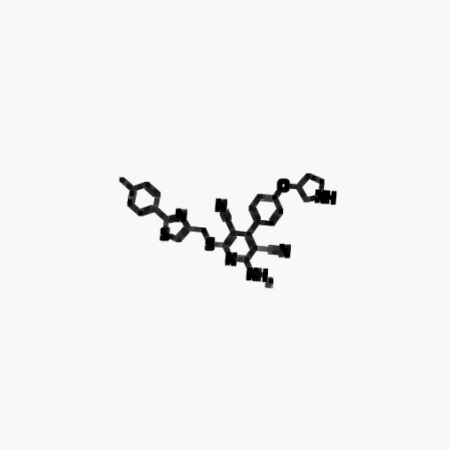 Cc1ccc(-c2nc(CSc3nc(N)c(C#N)c(-c4ccc(OC5CCNC5)cc4)c3C#N)cs2)cc1